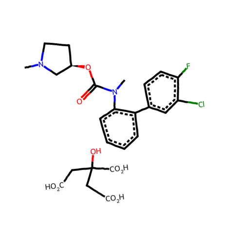 CN1CC[C@@H](OC(=O)N(C)c2ccccc2-c2ccc(F)c(Cl)c2)C1.O=C(O)CC(O)(CC(=O)O)C(=O)O